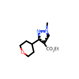 CCOC(=O)c1cn(C)nc1C1CCOCC1